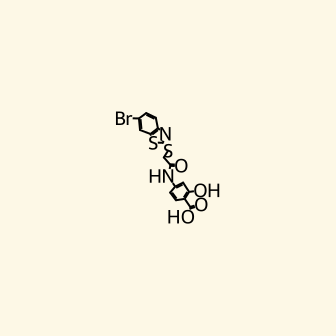 O=C(CSc1nc2ccc(Br)cc2s1)Nc1ccc(C(=O)O)c(O)c1